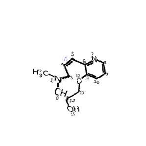 CN(C)C/C=C\c1ncccc1OCCO